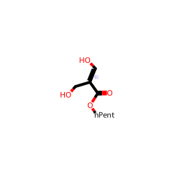 CCCCCOC(=O)/C(=C/O)CO